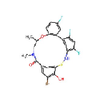 CC1CN(C)C(=O)c2cc(Br)c(O)c(c2)SNc2cc(c(F)cc2F)-c2cc(F)ccc2O1